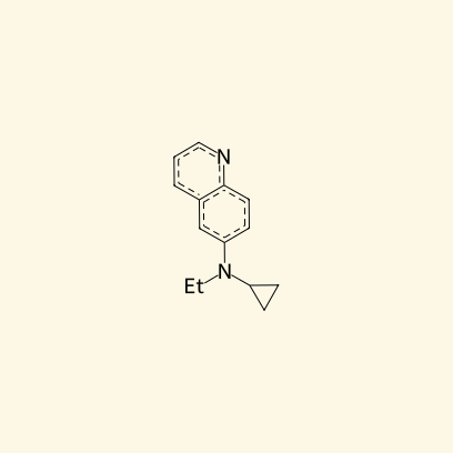 CCN(c1ccc2ncccc2c1)C1CC1